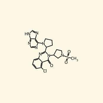 CS(=O)(=O)N1CCC(n2c(C3CCCN3c3ncnc4[nH]cnc34)nc3cccc(Cl)c3c2=O)C1